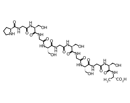 C[C@H](NC(=O)[C@H](CO)NC(=O)CNC(=O)[C@H](CO)NC(=O)CNC(=O)[C@H](CO)NC(=O)CNC(=O)[C@H](CO)NC(=O)CNC(=O)[C@H](CO)NC(=O)CNC(=O)[C@@H]1CCCN1)C(=O)O